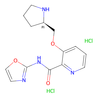 Cl.Cl.O=C(Nc1ncco1)c1ncccc1OC[C@H]1CCCN1